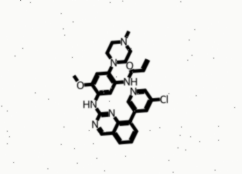 C=CC(=O)Nc1cc(Nc2ncc3cccc(-c4cncc(Cl)c4)c3n2)c(OC)cc1N1CCN(C)CC1